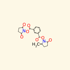 C=C1CCC(=O)N1OC(=O)c1cccc(C(=O)ON2C(=O)CCC2=O)c1